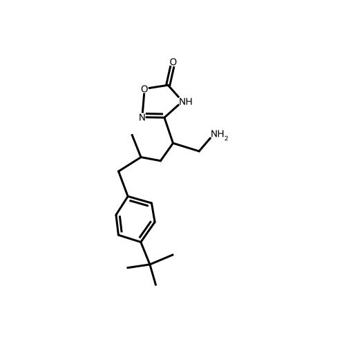 CC(Cc1ccc(C(C)(C)C)cc1)CC(CN)c1noc(=O)[nH]1